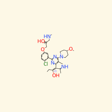 CC/C(O)=C(/C(C)=N)c1nc(-c2cc(OC[C@H](O)CNC)ccc2Cl)nc(N2CCC(OC)CC2)c1C